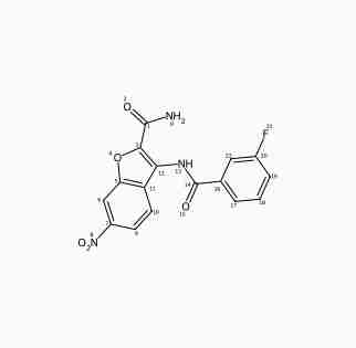 NC(=O)c1oc2cc([N+](=O)[O-])ccc2c1NC(=O)c1cccc(F)c1